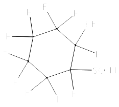 O=S(=O)(O)C1(F)C(F)(F)C(F)(F)C(F)(F)C(F)(F)C1(F)C(F)(F)F